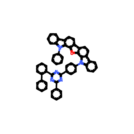 c1ccc(-c2nc(-c3ccc(-n4c5ccccc5c5ccc6c7ccc8c9ccccc9n(-c9ccccc9)c8c7oc6c54)cc3)nc(-c3ccccc3-c3ccccc3)n2)cc1